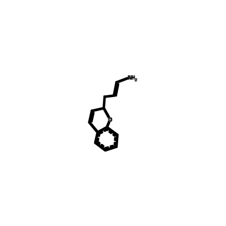 NC=CCC1C=Cc2ccccc2O1